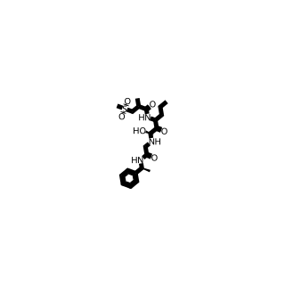 CCCC(NC(=O)C(C)CS(C)(=O)=O)C(=O)[C@H](O)NCC(=O)N[C@@H](C)c1ccccc1